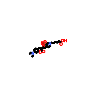 CCN(CC)c1ccc2cc(/C=C/c3cc[n+](CCCCCC(=O)O)cc3S(=O)(=O)[O-])c(=O)oc2c1